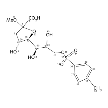 COC1(C(=O)O)C[C@@H](O)[C@H]([C@H](O)[C@H](O)COS(=O)(=O)c2ccc(C)cc2)O1